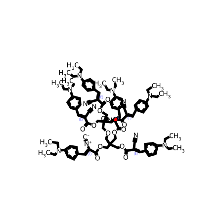 [C-]#[N+]/C(=C\c1ccc(N(CC)CC)cc1)C(=O)OCC(COCC(COC(=O)/C(C#N)=C/c1ccc(N(CC)CC)cc1)(COC(=O)/C(C#N)=C/c1ccc(N(CC)CC)cc1)COC(=O)/C(C#N)=C/c1ccc(N(CC)CC)cc1)(COC(=O)/C(=C/c1ccc(N(CC)CC)cc1)[N+]#[C-])COC(=O)/C(C#N)=C/c1ccc(N(CC)CC)cc1